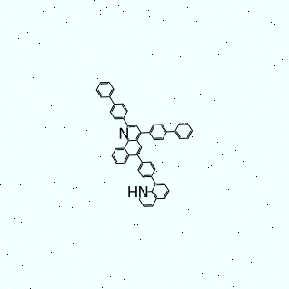 C1=Cc2cccc(-c3ccc(-c4cc5c(-c6ccc(-c7ccccc7)cc6)cc(-c6ccc(-c7ccccc7)cc6)nc5c5ccccc45)cc3)c2NC1